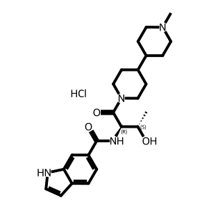 C[C@H](O)[C@@H](NC(=O)c1ccc2cc[nH]c2c1)C(=O)N1CCC(C2CCN(C)CC2)CC1.Cl